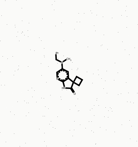 CC(C)CN(C)c1cnc2c(c1)C1(CCC1)C(=O)N2